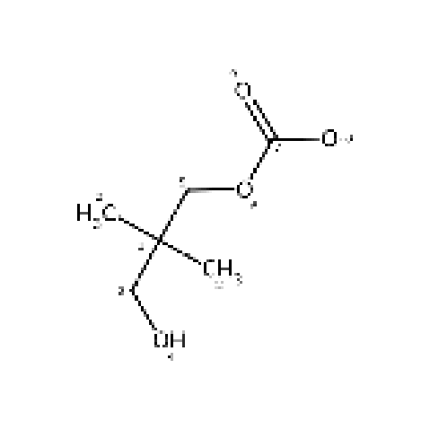 CC(C)(CO)COC([O])=O